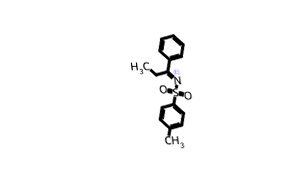 CC/C(=N\S(=O)(=O)c1ccc(C)cc1)c1ccccc1